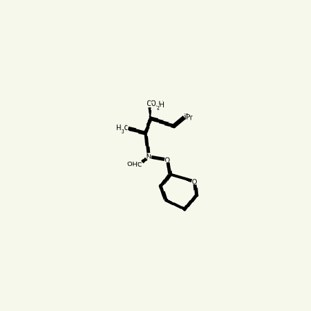 CC(C)C[C@H](C(=O)O)C(C)N(C=O)OC1CCCCO1